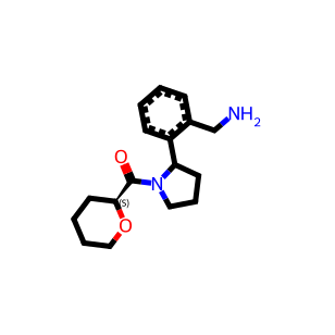 NCc1ccccc1C1CCCN1C(=O)[C@@H]1CCCCO1